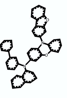 c1ccc(-c2cccc(N(c3ccc4c(c3)Oc3ccccc3N4c3ccc4c(c3)oc3ccccc34)c3cccc4ccccc34)c2)cc1